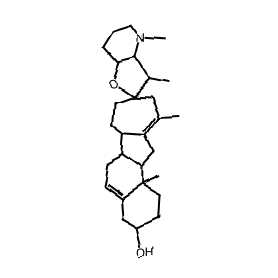 CC1=C2CC3C(CC=C4CC(O)CCC43C)C2CCC2(C1)OC1CCCN(C)C1C2C